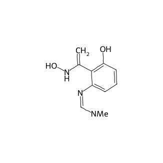 C=C(NO)c1c(O)cccc1/N=C\NC